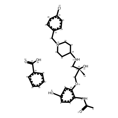 CC(=O)Nc1ccc(O)cc1OC[C@@](C)(O)CNC1CCN(Cc2ccc(Cl)cc2)CC1.O=C(O)c1ccccc1